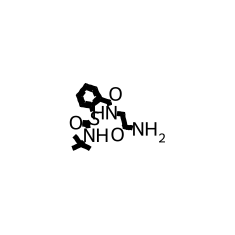 CC(C)(C)NC(=O)Sc1ccccc1C(=O)NCC(N)=O